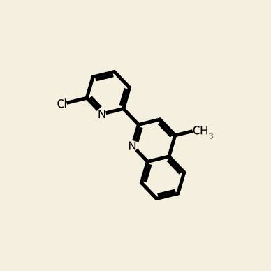 Cc1cc(-c2cccc(Cl)n2)nc2ccccc12